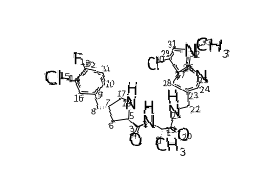 C[C@H](NC(=O)[C@H]1C[C@H](Cc2ccc(F)c(Cl)c2)CN1)C(=O)NCc1cnc2c(c1)c(Cl)cn2C